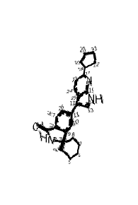 O=C1NC2(CCCCC2)c2cc(-c3c[nH]c4nc(C5CCCC5)ccc34)ccc21